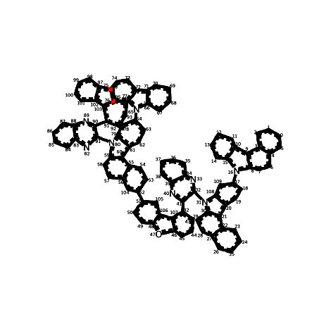 c1ccc2c(c1)ccc1c2c2ccccc2n1-c1ccc2c3c4ccccc4ccc3n(-c3nc4ccccc4nc3-c3cccc4oc5ccc(-c6ccc7c(ccc8c7c7ccc(-n9c%10ccccc%10c%10ccccc%109)cc7n8-c7nc8ccccc8nc7-c7cccc8oc9ccccc9c78)c6)cc5c34)c2c1